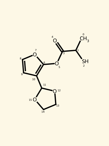 CC(S)C(=O)Oc1occc1C1OCCO1